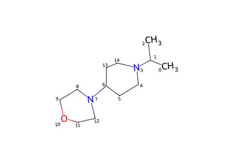 CC(C)N1CCC(N2CCOCC2)CC1